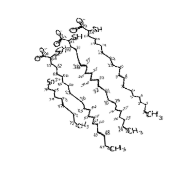 CCCCCCCCCCCCCCCCCCC(S)C(=O)[O-].CCCCCCCCCCCCCCCCCCC(S)C(=O)[O-].CCCCCCCCCCCCCCCCCCC(S)C(=O)[O-].CCCCCCC[CH2][Sn+3]